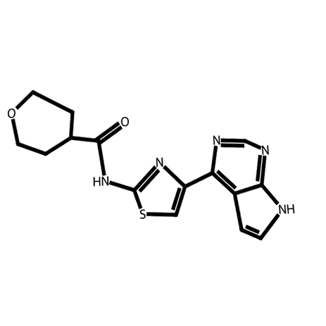 O=C(Nc1nc(-c2ncnc3[nH]ccc23)cs1)C1CCOCC1